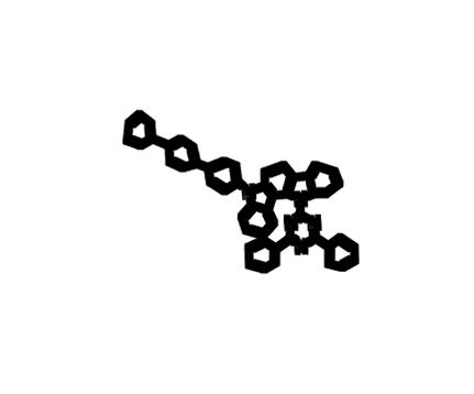 c1ccc(-c2ccc(-c3ccc(-n4c5ccccc5c5c4ccc4c6ccccc6n(-c6nc(-c7ccccc7)nc(-c7ccccc7)n6)c45)cc3)cc2)cc1